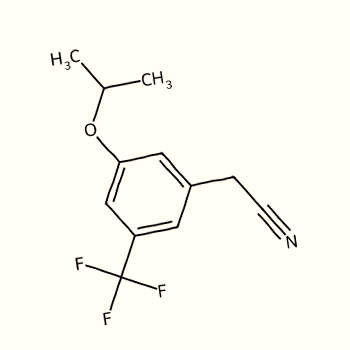 CC(C)Oc1cc(CC#N)cc(C(F)(F)F)c1